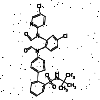 CC(C)(C)NS(=O)(=O)c1ccccc1-c1ccc(N(C=O)c2ccc(Cl)cc2N(C=O)c2ccc(Cl)cn2)cc1